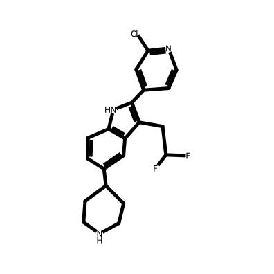 FC(F)Cc1c(-c2ccnc(Cl)c2)[nH]c2ccc(C3CCNCC3)cc12